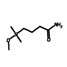 CO[Si](C)(C)CCCC(N)=O